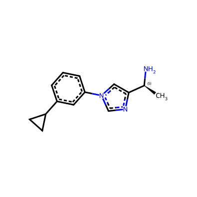 C[C@H](N)c1cn(-c2cccc(C3CC3)c2)cn1